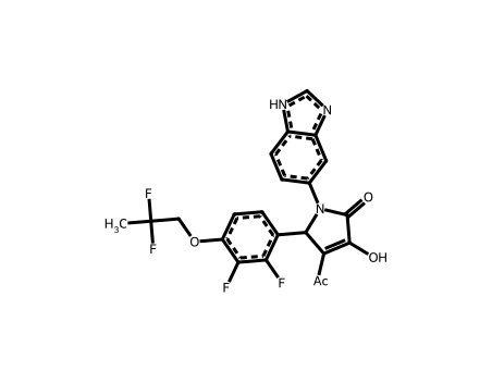 CC(=O)C1=C(O)C(=O)N(c2ccc3[nH]cnc3c2)C1c1ccc(OCC(C)(F)F)c(F)c1F